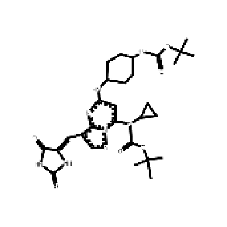 CC(C)(C)OC(=O)NC1CCC(Nc2cc(N(C(=O)OC(C)(C)C)C3CC3)n3ncc(/C=C4\NC(=O)NC4=O)c3n2)CC1